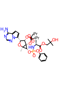 CC(C)C(=O)O[C@H]1[C@@H](c2ccc3c(N)ncnn23)O[C@]2(C)[C@@H](OP(=O)(N[C@@H](C)C(=O)OCC(C)(C)O)Oc3ccccc3)[C@]12OC(=O)C(C)C